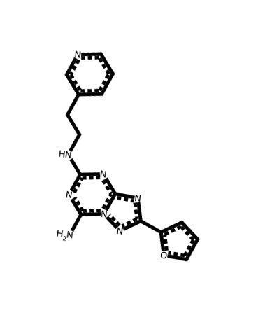 Nc1nc(NCCc2cccnc2)nc2nc(-c3ccco3)nn12